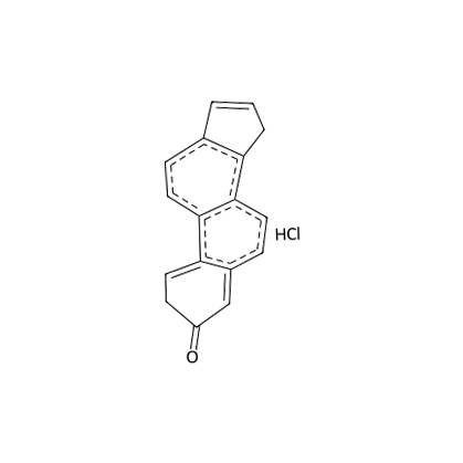 Cl.O=C1C=c2ccc3c4c(ccc3c2=CC1)C=CC4